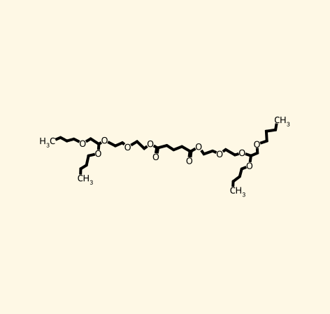 CCCCOCC(OCCCC)OCCOCCOC(=O)CCCC(=O)OCCOCCOC(COCCCC)OCCCC